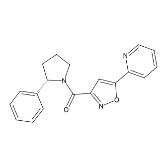 O=C(c1cc(-c2ccccn2)on1)N1CCC[C@H]1c1ccccc1